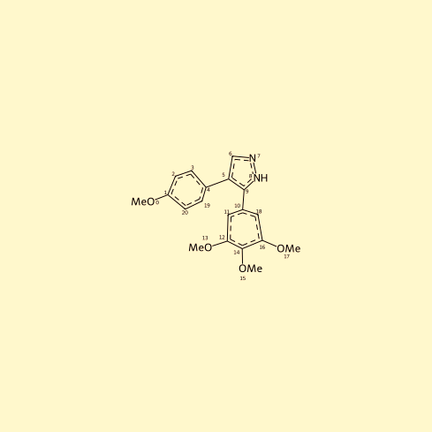 COc1ccc(-c2cn[nH]c2-c2cc(OC)c(OC)c(OC)c2)cc1